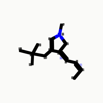 C/C=C\C=C1/CN(C)C=C1CC(C)(C)C